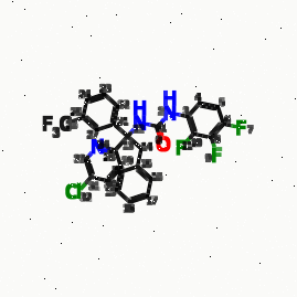 O=C(Nc1ccc(F)c(F)c1F)NC(Cc1ccccc1)(c1cccc(C(F)(F)F)c1)c1ccc(Cl)cn1